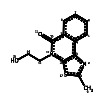 Cc1nc2c3ccccc3c(=O)n(CCO)c2s1